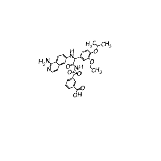 CCOc1cc(C(Nc2ccc3c(N)nccc3c2)C(=O)NS(=O)(=O)c2cccc(C(=O)O)c2)ccc1OC(C)C